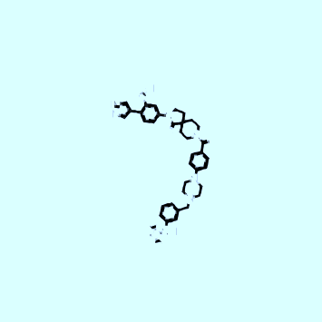 COc1cc(N2CCC3(CCN(C(=O)c4ccc(N5CCN(Cc6cccc(NS(=O)(=O)O)c6)CC5)cc4)CC3)C2=O)ccc1-c1cn[nH]c1